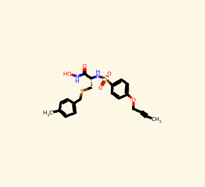 CC#CCOc1ccc(S(=O)(=O)N[C@H](CSCc2ccc(C)cc2)C(=O)NO)cc1